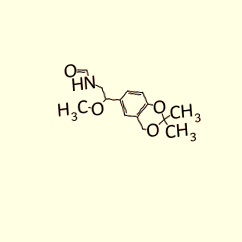 COC(CNC=O)c1ccc2c(c1)COC(C)(C)O2